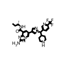 CC[C@H](C)NC(=O)c1cc(-c2cnn(C(c3ccc(C(F)(F)F)nc3)C3CCNCC3)c2)cn2nc(N)nc12